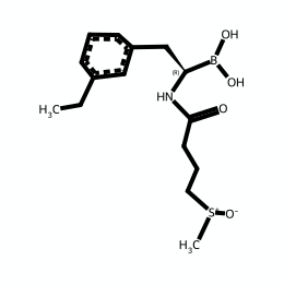 CCc1cccc(C[C@H](NC(=O)CCC[S+](C)[O-])B(O)O)c1